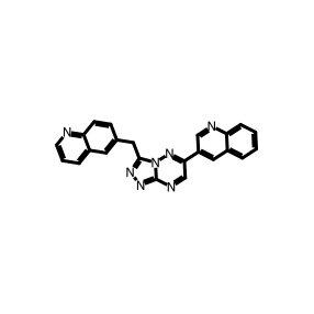 c1cnc2ccc(Cc3nnc4ncc(-c5cnc6ccccc6c5)nn34)cc2c1